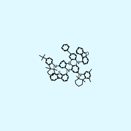 Cc1cc(C)c2c(c1)N(c1cc3c4c(c1)N(c1cccc5oc6ccccc6c15)c1ccc(-c5ccccc5)cc1B4c1ccc(N4c5ccc(C(C)(C)C)cc5C5(C)CCCCC45C)cc1N3c1cccc3c1sc1ccccc13)C1(C)CCCCC21C